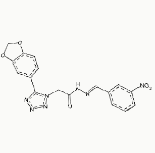 O=C(Cn1nnnc1-c1ccc2c(c1)OCO2)NN=Cc1cccc([N+](=O)[O-])c1